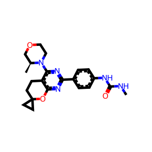 CNC(=O)Nc1ccc(-c2nc3c(c(N4CCOC[C@@H]4C)n2)CCC2(CC2)O3)cc1